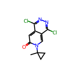 CC1(n2cc3c(Cl)nnc(Cl)c3cc2=O)CC1